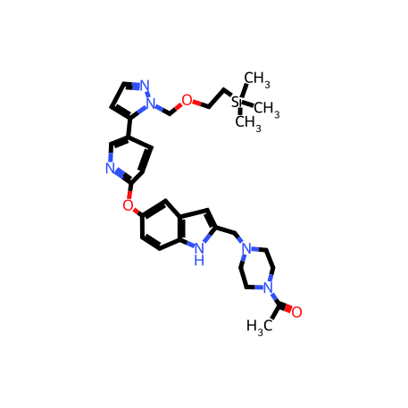 CC(=O)N1CCN(Cc2cc3cc(Oc4ccc(-c5ccnn5COCC[Si](C)(C)C)cn4)ccc3[nH]2)CC1